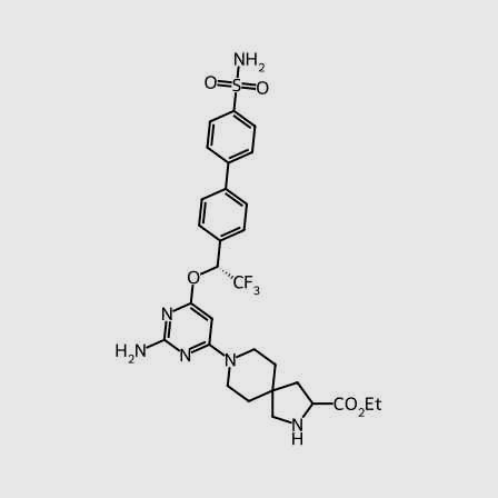 CCOC(=O)C1CC2(CCN(c3cc(O[C@H](c4ccc(-c5ccc(S(N)(=O)=O)cc5)cc4)C(F)(F)F)nc(N)n3)CC2)CN1